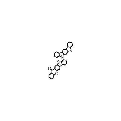 O=c1c2ccccc2oc2cc3c(cc12)sc1c(-n2c4ccccc4c4cc5c(cc42)sc2ccccc25)cccc13